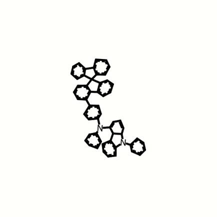 C1=CC2C(C(N(c3ccccc3)c3ccc(-c4cccc5c4-c4ccccc4C54c5ccccc5-c5ccccc54)cc3)=C1)c1ccccc1N2c1ccccc1